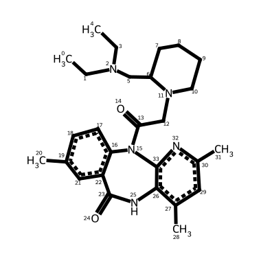 CCN(CC)CC1CCCCN1CC(=O)N1c2ccc(C)cc2C(=O)Nc2c(C)cc(C)nc21